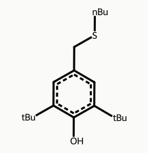 CCCCSCc1cc(C(C)(C)C)c(O)c(C(C)(C)C)c1